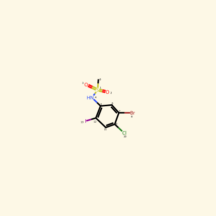 CS(=O)(=O)Nc1cc(Br)c(Cl)cc1I